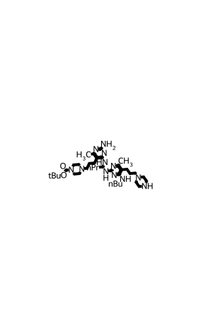 CCCCNc1nc(NC(CCC)Nc2nc(N)nc(C)c2CCCN2CCN(C(=O)OC(C)(C)C)CC2)nc(C)c1CCCN1CCNCC1